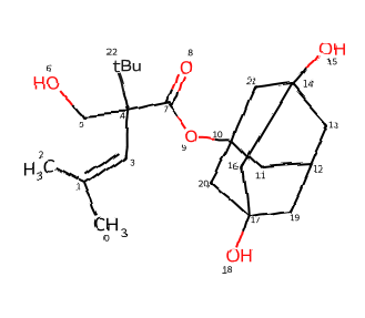 CC(C)=CC(CO)(C(=O)OC12CC3CC(O)(CC(O)(C3)C1)C2)C(C)(C)C